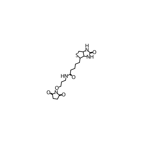 O=C(CCCCC1SCC2NC(=O)NC21)NCCCON1C(=O)CCC1=O